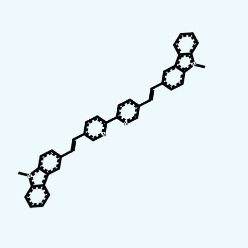 Cn1c2ccccc2c2cc(/C=C/c3ccc(-c4ccc(/C=C/c5ccc6c(c5)c5ccccc5n6C)cn4)nc3)ccc21